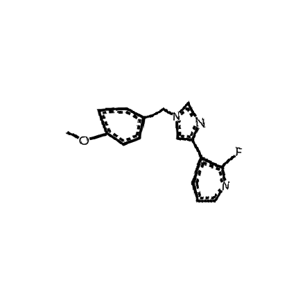 COc1ccc(Cn2cnc(-c3cccnc3F)c2)cc1